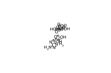 C[C@]1(O)C(O)[C@@H](COP(=O)(O)OP(=O)(O)OP(=O)(O)O)O[C@H]1n1cnc2c(N)ncnc21